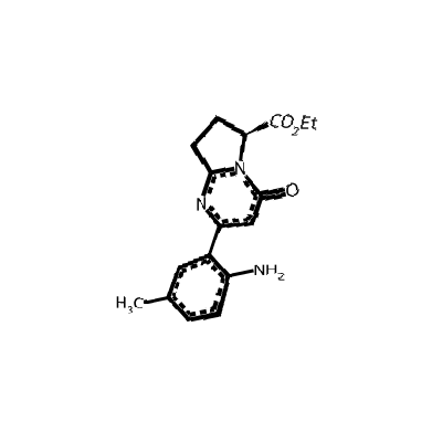 CCOC(=O)[C@@H]1CCc2nc(-c3cc(C)ccc3N)cc(=O)n21